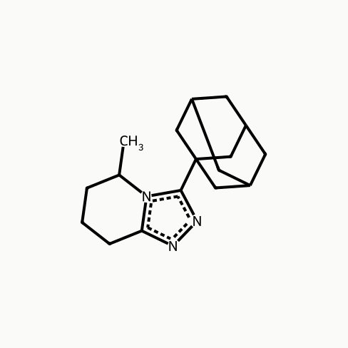 CC1CCCc2nnc(C34CC5CC(CC(C5)C3)C4)n21